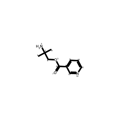 CC(C)(N)COC(=O)c1cccnc1